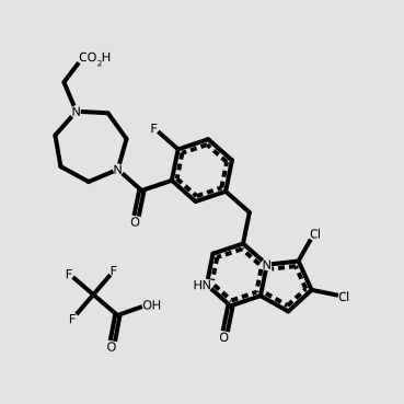 O=C(O)C(F)(F)F.O=C(O)CN1CCCN(C(=O)c2cc(Cc3c[nH]c(=O)c4cc(Cl)c(Cl)n34)ccc2F)CC1